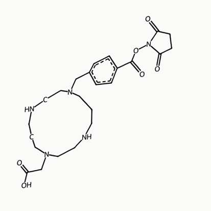 O=C(O)CN1CCCNCCN(Cc2ccc(C(=O)ON3C(=O)CCC3=O)cc2)CCCNCC1